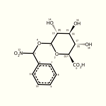 O=C(O)[C@H]1OC(OC(c2ccccc2)[N+](=O)[O-])[C@H](O)[C@@H](O)[C@@H]1O